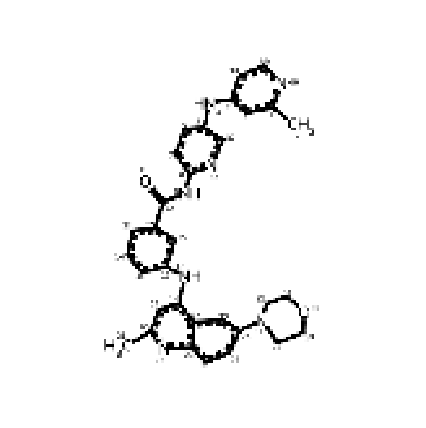 Cc1cc(Nc2ccc(NC(=O)c3cccc(Nc4cc(C)nc5ccc(N6CCOCC6)cc45)c3)nc2)ccn1